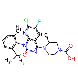 Cc1cccc(C(C)C)c1-n1c(=O)nc(N2CCN(C(=O)O)C[C@@H]2C)c2cc(F)c(Cl)nc21